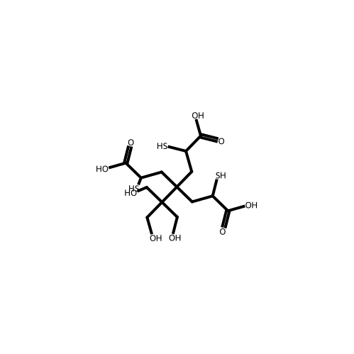 O=C(O)C(S)CC(CC(S)C(=O)O)(CC(S)C(=O)O)C(CO)(CO)CO